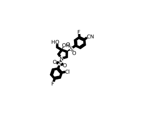 N#Cc1ccc(S(=O)(=O)[C@H]2CN(S(=O)(=O)c3ccc(F)cc3Cl)C[C@@]2(O)CO)cc1F